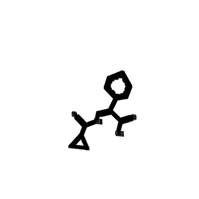 O=C(O)C(=CNC(=O)C1CC1)c1ccccc1